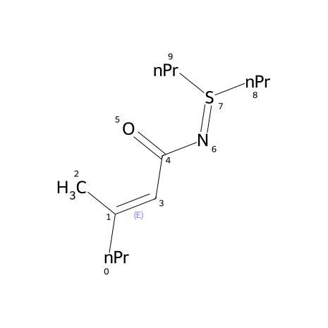 CCC/C(C)=C/C(=O)N=S(CCC)CCC